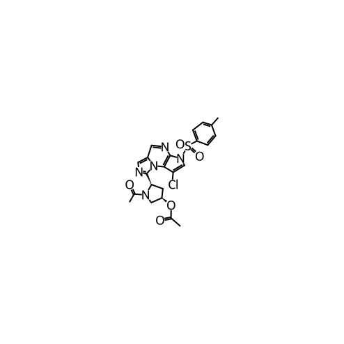 CC(=O)O[C@@H]1C[C@H](c2ncc3cnc4c(c(Cl)cn4S(=O)(=O)c4ccc(C)cc4)n23)N(C(C)=O)C1